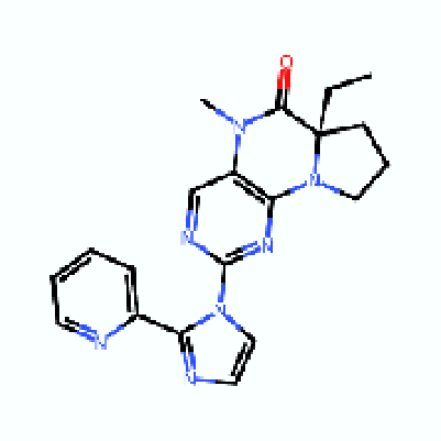 CC[C@@]12CCCN1c1nc(-n3ccnc3-c3ccccn3)ncc1N(C)C2=O